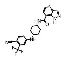 N#Cc1ccc(N[C@H]2CC[C@@H](NC(=O)c3ccnc4cn[nH]c34)CC2)cc1C(F)(F)F